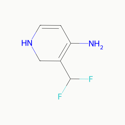 NC1=C(C(F)F)CNC=C1